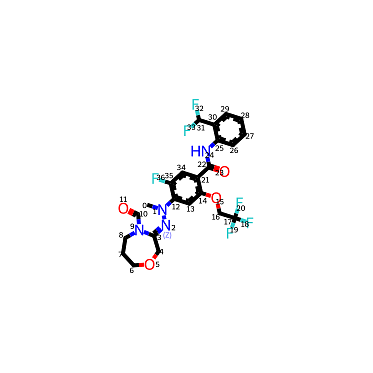 CN(/N=C1/COCCCN1C=O)c1cc(OCC(F)(F)F)c(C(=O)Nc2ccccc2C(F)F)cc1F